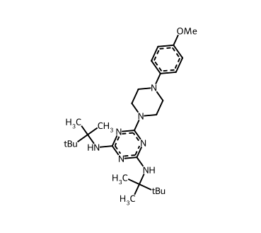 COc1ccc(N2CCN(c3nc(NC(C)(C)C(C)(C)C)nc(NC(C)(C)C(C)(C)C)n3)CC2)cc1